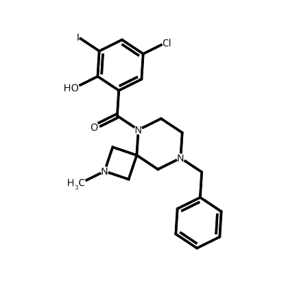 CN1CC2(C1)CN(Cc1ccccc1)CCN2C(=O)c1cc(Cl)cc(I)c1O